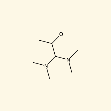 CC([O])C(N(C)C)N(C)C